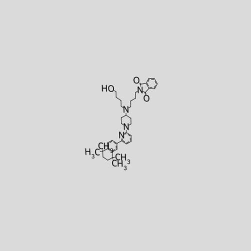 CC1(C)CCC(C)(C)c2cc(-c3cccc(N4CCC(N(CCCCO)CCCCN5C(=O)c6ccccc6C5=O)CC4)n3)ccc21